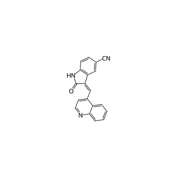 N#Cc1ccc2c(c1)C(=Cc1ccnc3ccccc13)C(=O)N2